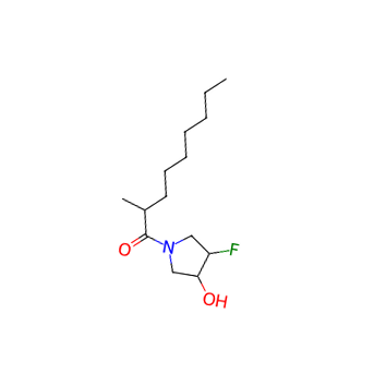 CCCCCCCC(C)C(=O)N1CC(O)C(F)C1